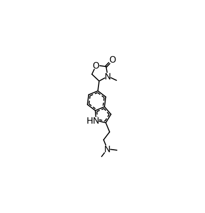 CN(C)CCc1cc2cc(C3COC(=O)N3C)ccc2[nH]1